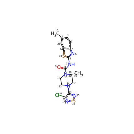 Cc1ccc2nc(NC(=O)N3CCN(c4nsnc4Cl)C[C@H]3C)sc2c1